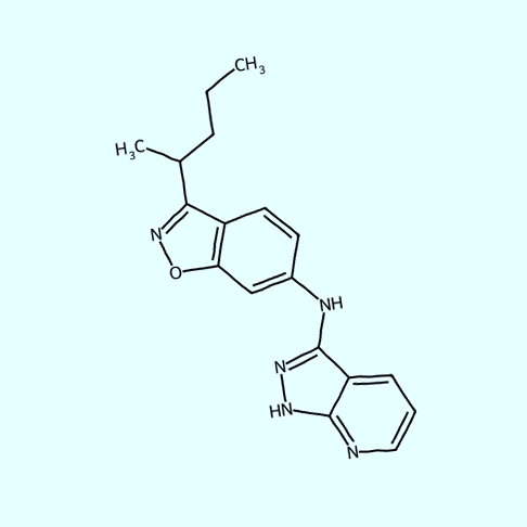 CCCC(C)c1noc2cc(Nc3n[nH]c4ncccc34)ccc12